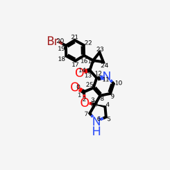 O=C1O[C@]2(CCNC2)c2ccnc(C(=O)C3(c4ccc(Br)cc4)CC3)c21